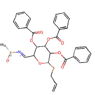 C=CCSC1OC(/C=N/[S@+]([O-])C(C)(C)C)C(OC(=O)c2ccccc2)C(OC(=O)c2ccccc2)C1OC(=O)c1ccccc1